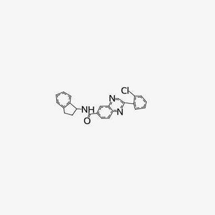 O=C(NC1CCc2ccccc21)c1ccc2nc(-c3ccccc3Cl)cnc2c1